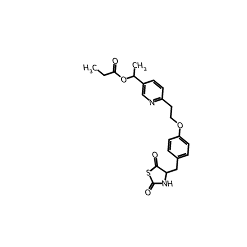 CCC(=O)OC(C)c1ccc(CCOc2ccc(CC3NC(=O)SC3=O)cc2)nc1